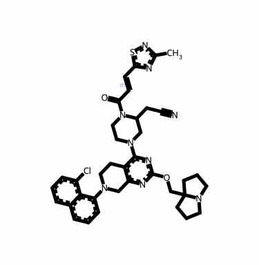 Cc1nsc(/C=C/C(=O)N2CCN(c3nc(OCC45CCCN4CCC5)nc4c3CCN(c3cccc5cccc(Cl)c35)C4)CC2CC#N)n1